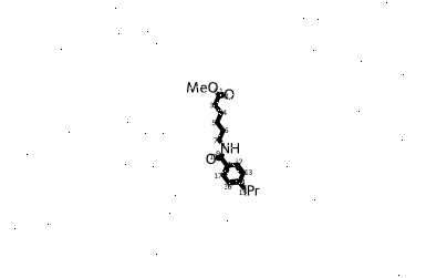 COC(=O)CCCCCNC(=O)c1ccc(C(C)C)cc1